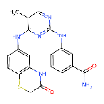 Cc1cnc(Nc2cccc(C(N)=O)c2)nc1Nc1ccc2c(c1)NC(=O)CS2